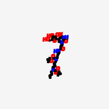 CCCCN(CCCCN(CCCNC(=O)CCn1cc([C@@H]2O[C@H](CO)C(O)[C@@H]2O)c(=O)[nH]c1=O)C(=O)OC(C)(C)C)C(=O)OC(C)(C)C